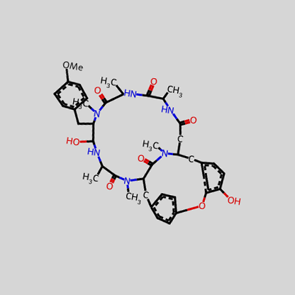 COc1ccc(CC2C(O)NC(C)C(=O)N(C)C3Cc4ccc(cc4)Oc4cc(ccc4O)CC(CC(=O)NC(C)C(=O)NC(C)C(=O)N2C)N(C)C3=O)cc1